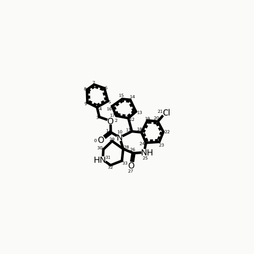 O=C(OCc1ccccc1)N1C(c2ccccc2)c2cc(Cl)ccc2NC(=O)C12CCNCC2